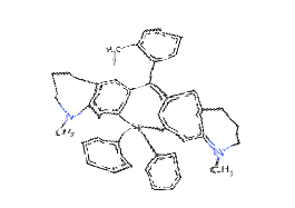 Cc1ccccc1C1=c2cc3c(cc2[Si](c2ccccc2)(c2ccccc2)c2cc4c(cc21)CCCN4C)=[N+](C)CCC3